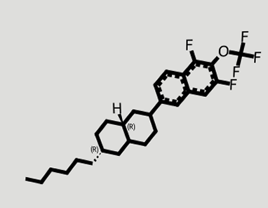 CCCCCC[C@@H]1CC[C@@H]2CC(c3ccc4c(F)c(OC(F)(F)F)c(F)cc4c3)CCC2C1